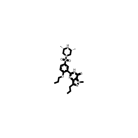 CCCOc1ccc(S(=O)(=O)N2C[C@@H](C)N[C@@H](C)C2)cc1-c1nc2c(CCC)nn(C)c2c(=S)[nH]1